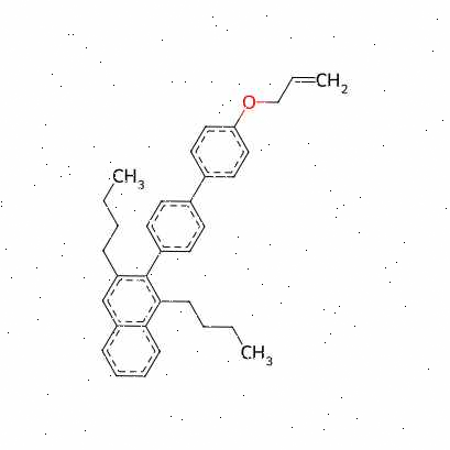 C=CCOc1ccc(-c2ccc(-c3c(CCCC)cc4ccccc4c3CCCC)cc2)cc1